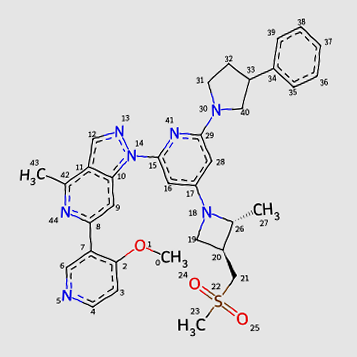 COc1ccncc1-c1cc2c(cnn2-c2cc(N3C[C@H](CS(C)(=O)=O)[C@H]3C)cc(N3CCC(c4ccccc4)C3)n2)c(C)n1